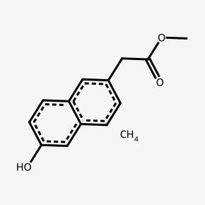 C.COC(=O)Cc1ccc2cc(O)ccc2c1